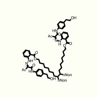 CCCCCCCCCC(CCCCCCCCOC(=O)c1ccccc1N/N=C(/C(C)=O)C(=O)Nc1ccc(CCO)cc1)C(CCCCCCCCC)CCCCCCCCOC(=O)c1ccccc1N/N=C(/C(C)=O)C(=O)Nc1ccc(CCO)cc1